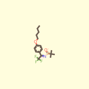 CCCCCOc1ccc(/C(=N\[S@@+]([O-])C(C)(C)C)C(F)(F)F)cc1